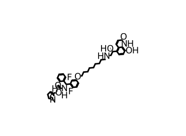 O=C(NC(c1ccccc1)c1c(F)ccc(OCCCCCCCCCNC[C@H](O)c2ccc(O)c3[nH]c(=O)ccc23)c1F)O[C@H]1CN2CCC1CC2